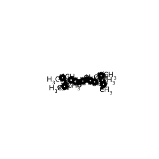 Cc1ccc(C)c(N(C2=CC3Cc4oc5cc6c(cc5c4C=C3C=C2)oc2cc3cc(N(c4cc(C)ccc4C)c4cc(C)ccc4C)ccc3cc26)c2cc(C)ccc2C)c1